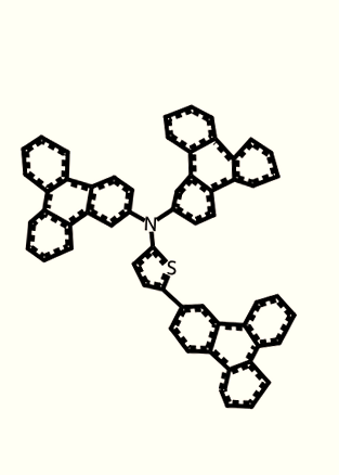 c1ccc2c(c1)c1ccccc1c1cc(-c3ccc(N(c4ccc5c6ccccc6c6ccccc6c5c4)c4ccc5c6ccccc6c6ccccc6c5c4)s3)ccc21